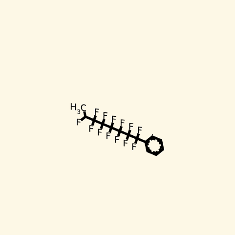 CC(F)C(F)(F)C(F)(F)C(F)(F)C(F)(F)C(F)(F)C(F)(F)c1[c]cccc1